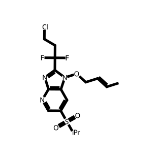 CC=CCOn1c(C(F)(F)CCCl)nc2ncc(S(=O)(=O)C(C)C)cc21